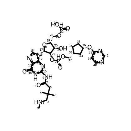 CNCC(C)(C)CC(=O)Nc1nc2c(ncn2[C@@H]2O[C@H](CO[PH](=O)O)[C@@H](O)[C@H]2O[PH](=O)OC[C@@H]2CC[C@H](Oc3ccncn3)C2)c(=O)[nH]1